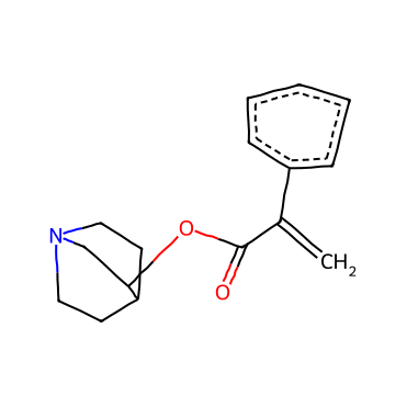 C=C(C(=O)OC1CN2CCC1CC2)c1ccccc1